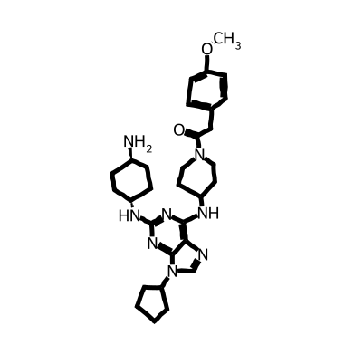 COc1ccc(CC(=O)N2CCC(Nc3nc(N[C@H]4CC[C@H](N)CC4)nc4c3ncn4C3CCCC3)CC2)cc1